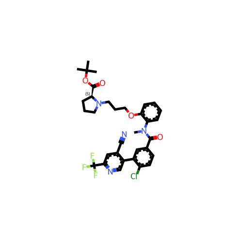 CN(C(=O)c1ccc(Cl)c(-c2cnc(C(F)(F)F)cc2C#N)c1)c1ccccc1OCCCN1CCC[C@H]1C(=O)OC(C)(C)C